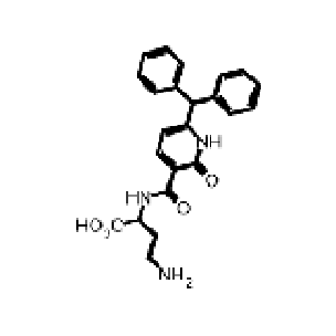 NCC[C@H](NC(=O)c1ccc(C(c2ccccc2)c2ccccc2)[nH]c1=O)C(=O)O